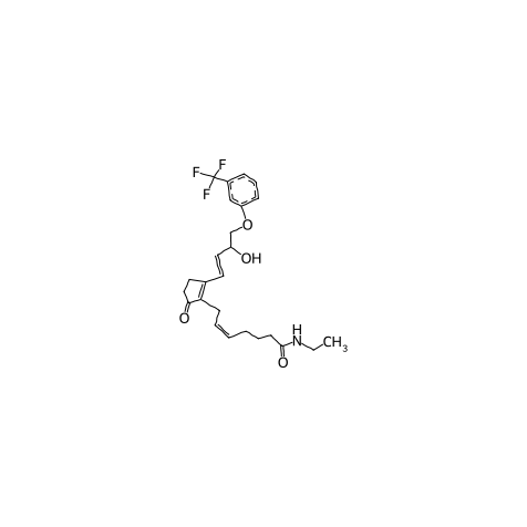 CCNC(=O)CCC/C=C\CC1=C(C=CC(O)COc2cccc(C(F)(F)F)c2)CCC1=O